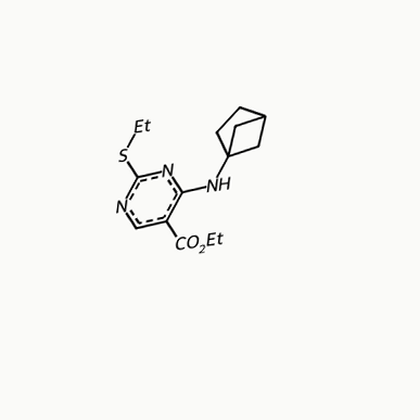 CCOC(=O)c1cnc(SCC)nc1NC12CCC(C1)C2